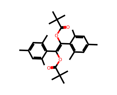 Cc1cc(C)c(/C(OC(=O)C(C)(C)C)=C(\OC(=O)C(C)(C)C)c2c(C)cc(C)cc2C)c(C)c1